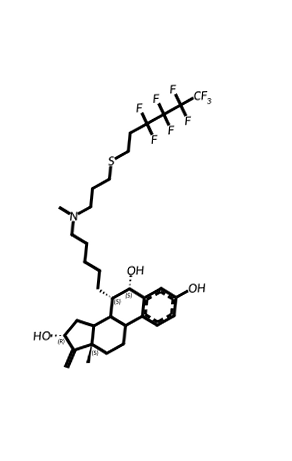 C=C1[C@H](O)CC2C3C(CC[C@]12C)c1ccc(O)cc1[C@@H](O)[C@H]3CCCCCN(C)CCCSCCC(F)(F)C(F)(F)C(F)(F)C(F)(F)F